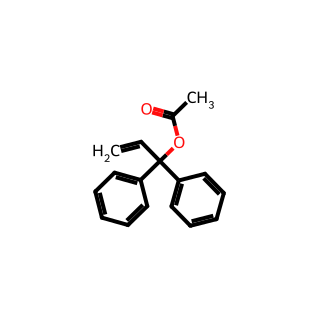 C=CC(OC(C)=O)(c1ccccc1)c1ccccc1